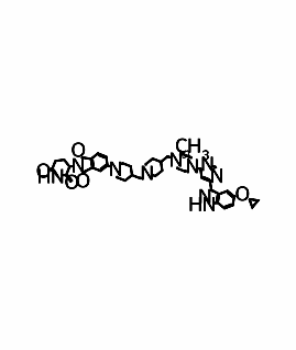 C[C@H]1CN(c2cc(-c3n[nH]c4ccc(OC5CC5)cc34)ncn2)CCN1CC1CCN(CC2CCN(c3ccc4c(c3)C(=O)N(C3CCC(=O)NC3=O)C4=O)CC2)CC1